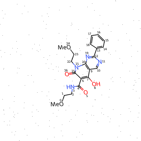 COCCNC(=O)c1c(O)c2cnc(-c3ccccc3)nc2n(CCOC)c1=O